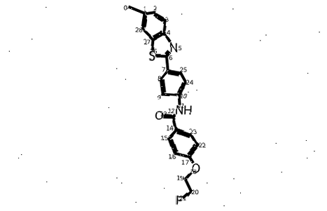 Cc1ccc2nc(-c3ccc(NC(=O)c4ccc(OCCF)cc4)cc3)sc2c1